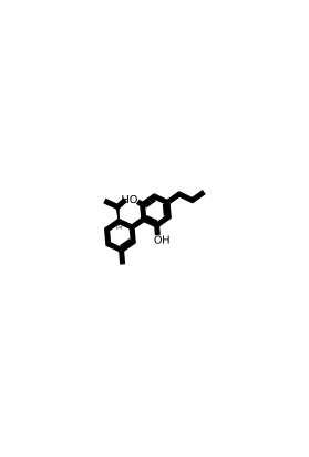 CCCc1cc(O)c(C2C=C(C)CC[C@H]2C(C)C)c(O)c1